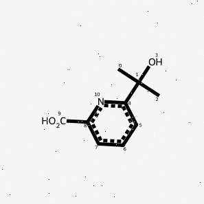 CC(C)(O)c1cccc(C(=O)O)n1